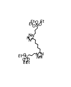 CCO[Si](CCCn1nnnc1CCCCCc1nnnn1CCC[Si](OCC)(OCC)OCC)(OCC)OCC